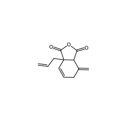 C=CCC12C=CCC(=C)C1C(=O)OC2=O